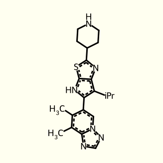 Cc1c(-c2[nH]c3sc(C4CCNCC4)nc3c2C(C)C)cn2ncnc2c1C